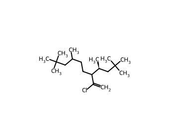 C=C(Cl)C(CCC(C)CC(C)(C)C)[C@@H](C)CC(C)(C)C